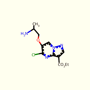 CCOC(=O)c1cnn2cc(OCC(C)N)c(Cl)nc12